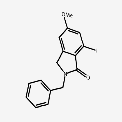 COc1cc(I)c2c(c1)CN(Cc1ccccc1)C2=O